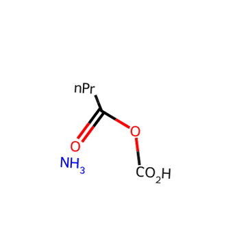 CCCC(=O)OC(=O)O.N